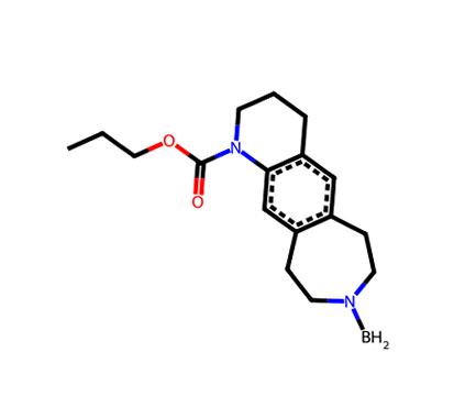 BN1CCc2cc3c(cc2CC1)N(C(=O)OCCC)CCC3